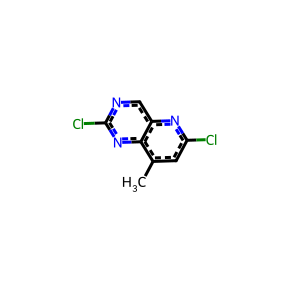 Cc1cc(Cl)nc2cnc(Cl)nc12